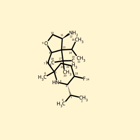 CC(C)[C@@H]1NC(C)(CC2OC[C@@H](N)C2(C(C)C)C(C)(C)C)CCC1F